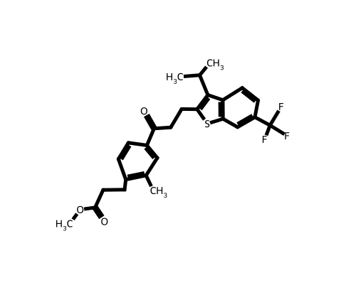 COC(=O)CCc1ccc(C(=O)CCc2sc3cc(C(F)(F)F)ccc3c2C(C)C)cc1C